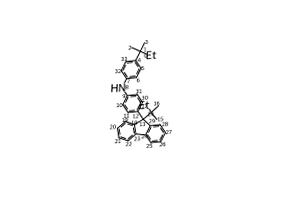 CCC(C)(C)c1ccc(Nc2ccc(C3(C(C)(C)CC)c4ccccc4-c4ccccc43)cc2)cc1